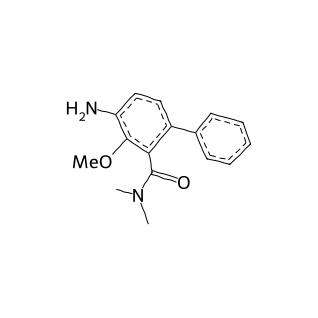 COc1c(N)ccc(-c2ccccc2)c1C(=O)N(C)C